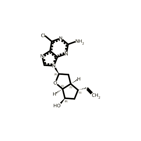 C=C[C@@H]1C[C@@H](O)[C@H]2O[C@@H](n3cnc4c(Cl)nc(N)nc43)C[C@H]21